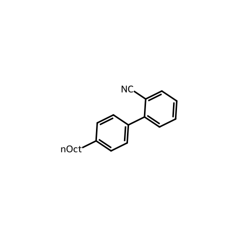 CCCCCCCCc1ccc(-c2ccccc2C#N)cc1